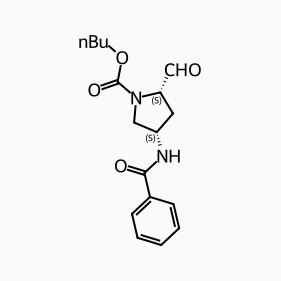 CCCCOC(=O)N1C[C@@H](NC(=O)c2ccccc2)C[C@H]1C=O